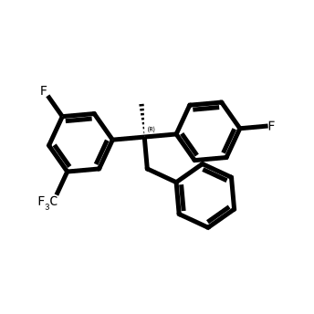 C[C@@](Cc1ccccc1)(c1ccc(F)cc1)c1cc(F)cc(C(F)(F)F)c1